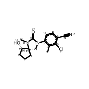 Cc1c(N2C[C@@]3(CCC[C@@H]3O)N(C)C2=O)ccc(C#N)c1Cl